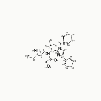 COCC(=O)N(CC[C@@H](N)CF)[C@@H](c1nc(-c2ccccc2)cn1Cc1ccccc1)C(C)(C)C